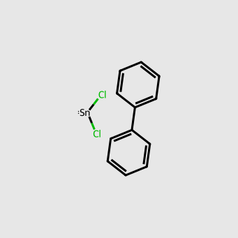 [Cl][Sn][Cl].c1ccc(-c2ccccc2)cc1